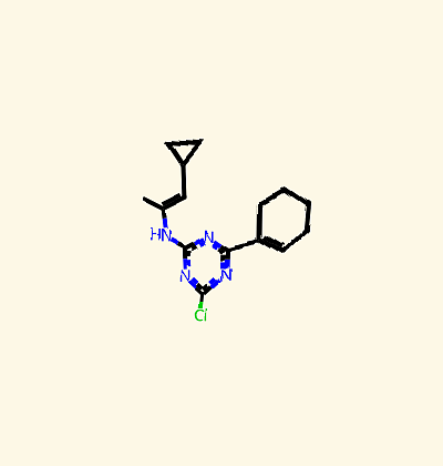 CC(=CC1CC1)Nc1nc(Cl)nc(C2=CCCCC2)n1